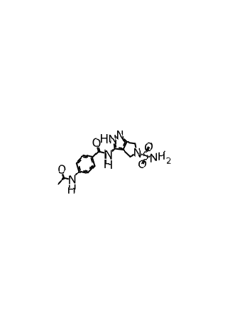 CC(=O)Nc1ccc(C(=O)Nc2[nH]nc3c2CN(S(N)(=O)=O)C3)cc1